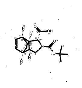 CC(C)(C)OC(=O)N1C[C@@H]2[C@@H]([C@@H]3C=C[C@H]2CC3)[C@@H]1C(=O)O